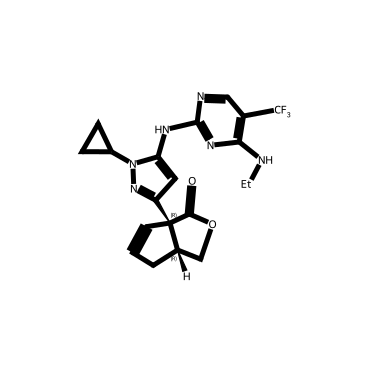 CCNc1nc(Nc2cc([C@]34C#CC[C@H]3COC4=O)nn2C2CC2)ncc1C(F)(F)F